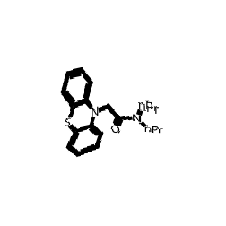 CCCN(CCC)C(=O)CN1c2ccccc2Sc2ccccc21